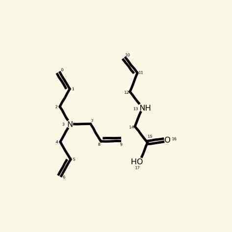 C=CCN(CC=C)CC=C.C=CCNCC(=O)O